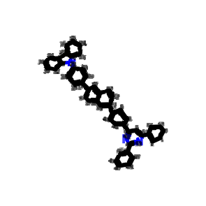 c1ccc(-c2cc(-c3ccc(-c4ccc5cc(-c6ccc(-n7c8ccccc8c8ccccc87)cc6)ccc5c4)cc3)nc(-c3ccccc3)n2)cc1